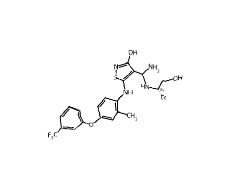 CC[C@@H](CO)NC(N)c1c(O)nsc1Nc1ccc(Oc2cccc(C(F)(F)F)c2)cc1C